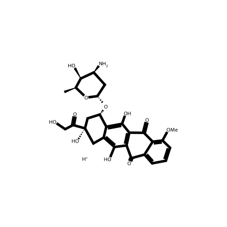 COc1cccc2c1C(=O)c1c(O)c3c(c(O)c1C2=O)C[C@@](O)(C(=O)CO)C[C@@H]3O[C@H]1C[C@H](N)[C@H](O)[C@H](C)O1.[H+]